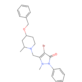 CC1CC(OCc2ccccc2)CCN1Cc1c(Br)c(=O)n(-c2ccccc2)n1C